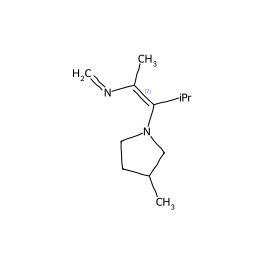 C=N/C(C)=C(/C(C)C)N1CCC(C)C1